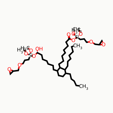 CCCCCCCC1C(CCCCC)CCC(CCCCCC[C@@H](O)O[Si](CCCOCC2CO2)(OC)OC)C1CCCCCCCC(=O)O[Si](CCCOCC1CO1)(OC)OC